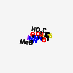 COc1nn(C(=O)NS(=O)(=O)c2c(C(=O)O)csc2C)c(=O)n1I